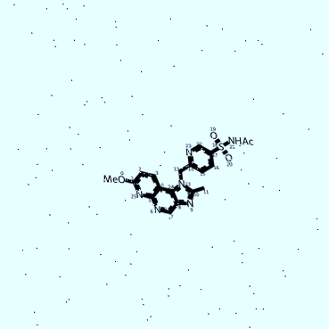 COc1ccc2c(ncc3nc(C)n(Cc4ccc(S(=O)(=O)NC(C)=O)cn4)c32)n1